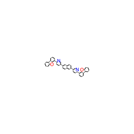 c1ccc2c(c1)oc1c(-c3ccc(-c4ccc5cc(-c6ccc(-c7cccc8c7oc7ccccc78)nc6)ccc5c4)cn3)cccc12